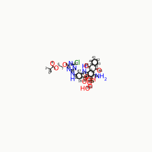 C=C(C)C(=O)OCCOc1nc(Cl)nc(Nc2ccc(S(=O)(=O)O)c(Nc3cc(SOOO)c(N)c4c3C(=O)c3ccccc3C4=O)c2)n1